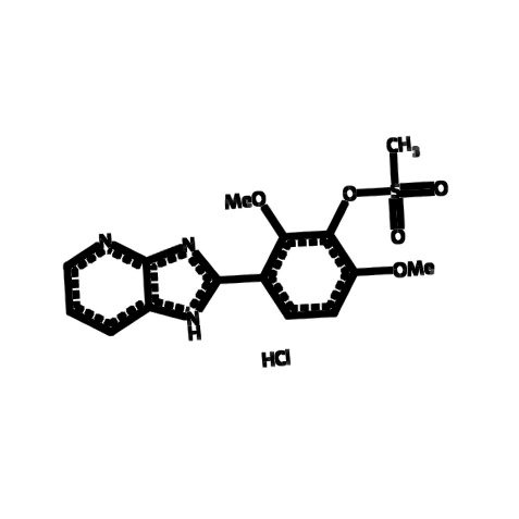 COc1ccc(-c2nc3ncccc3[nH]2)c(OC)c1OS(C)(=O)=O.Cl